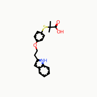 CC(C)(Sc1ccc(OCCc2cc3ccccc3[nH]2)cc1)C(=O)O